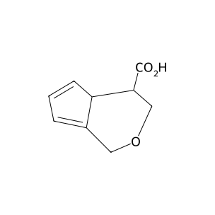 O=C(O)C1COCC2=CC=CC21